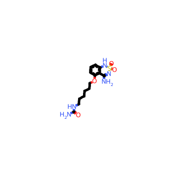 NC(=O)NCCCCCCOc1cccc2c1C(N)=NS(=O)(=O)N2